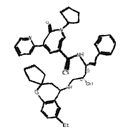 CCc1ccc2c(c1)C(NC[C@@H](O)[C@H](Cc1ccccc1)NC(=O)c1cc(-c3ccccn3)c(=O)n(C3CCCC3)c1)CC1(CCCC1)O2